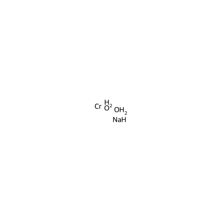 O.O.[Cr].[NaH]